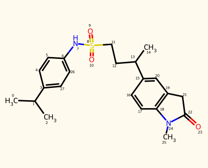 CC(C)c1ccc(NS(=O)(=O)CCC(C)c2ccc3c(c2)CC(=O)N3C)cc1